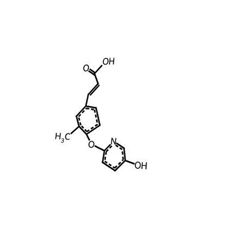 Cc1cc(C=CC(=O)O)ccc1Oc1ccc(O)cn1